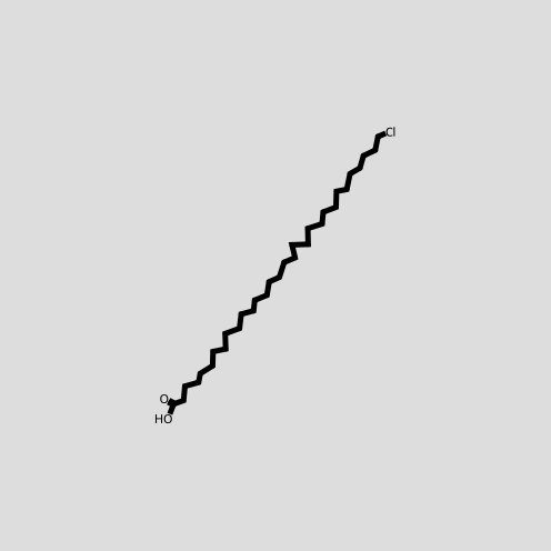 O=C(O)CCCCCCCCCCCCCCCCCCCCCCCCCCCCCCCl